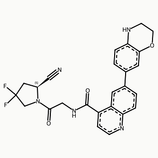 N#C[C@@H]1CC(F)(F)CN1C(=O)CNC(=O)c1ccnc2ccc(-c3ccc4c(c3)OCCN4)cc12